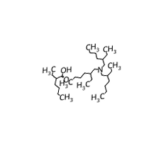 CCCCC(CC)C(=O)O.CCCCC(CC)CN(CC(CC)CCCC)CC(CC)CCCC